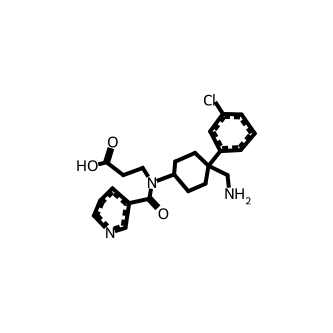 NCC1(c2cccc(Cl)c2)CCC(N(CCC(=O)O)C(=O)c2cccnc2)CC1